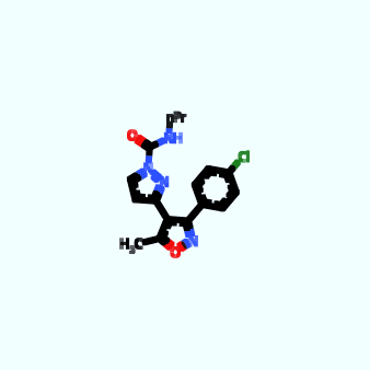 CCCNC(=O)n1ccc(-c2c(-c3ccc(Cl)cc3)noc2C)n1